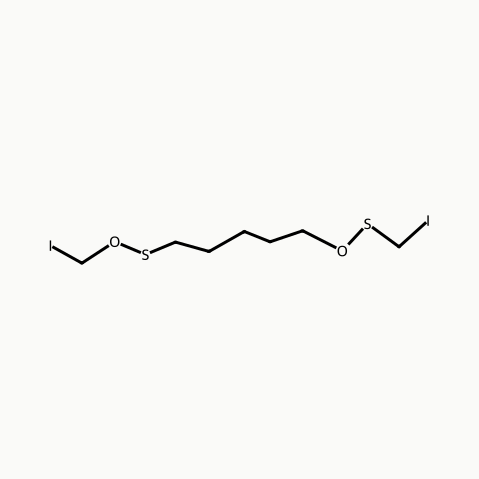 ICOSCCCCCOSCI